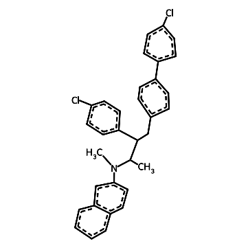 CC(C(Cc1ccc(-c2ccc(Cl)cc2)cc1)c1ccc(Cl)cc1)N(C)c1ccc2ccccc2c1